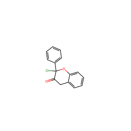 O=C1Cc2ccccc2OC1(Cl)c1ccccc1